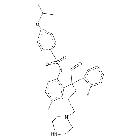 Cc1ccc2c(n1)C(CCCN1CCNCC1)(c1ccccc1F)C(=O)N2S(=O)(=O)c1ccc(OC(C)C)cc1